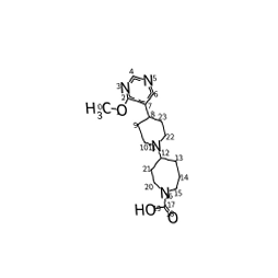 COc1ncncc1C1CCN(C2CCCN(C(=O)O)CC2)CC1